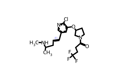 CNC(C)C/C=C/c1cnc(Cl)c(OC2CCN(C(=O)CCC(F)(F)F)C2)c1